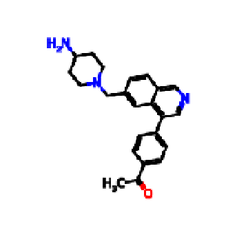 CC(=O)c1ccc(-c2cncc3ccc(CN4CCC(N)CC4)cc23)cc1